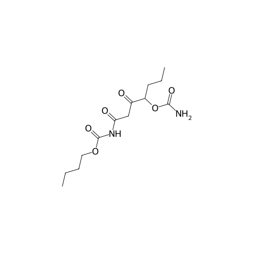 CCCCOC(=O)NC(=O)CC(=O)C(CCC)OC(N)=O